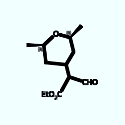 CCOC(=O)C(C=O)C1C[C@@H](C)O[C@@H](C)C1